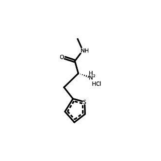 CNC(=O)[C@H](N)Cc1cccs1.Cl